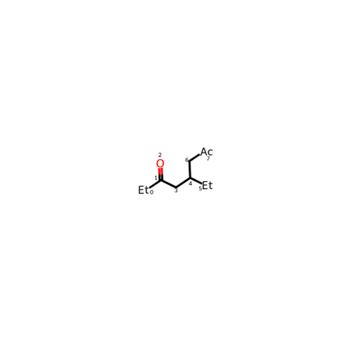 CCC(=O)CC(CC)CC(C)=O